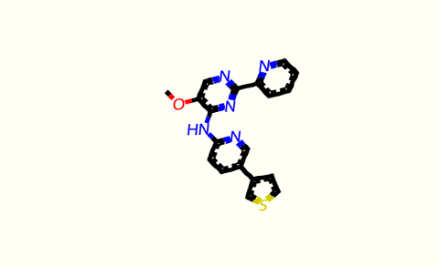 COc1cnc(-c2ccccn2)nc1Nc1ccc(-c2ccsc2)cn1